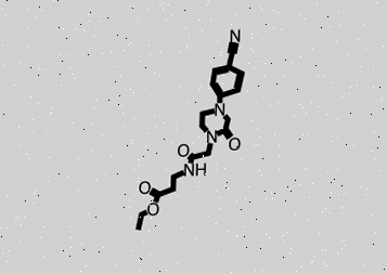 CCOC(=O)CCNC(=O)CN1CCN(c2ccc(C#N)cc2)CC1=O